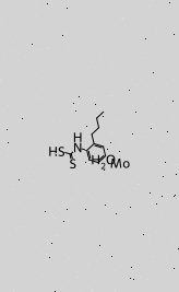 CCCCc1ccccc1NC(=S)S.O.[Mo]